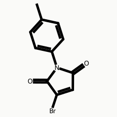 Cc1ccc(N2C(=O)C=C(Br)C2=O)cc1